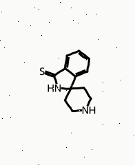 S=C1NC2(CCNCC2)c2ccccc21